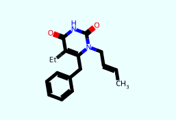 CC=CCn1c(Cc2ccccc2)c(CC)c(=O)[nH]c1=O